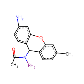 CC(=O)N(P)C1c2ccc(C)cc2Oc2cc(N)ccc21